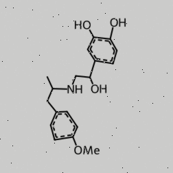 COc1ccc(CC(C)NCC(O)c2ccc(O)c(O)c2)cc1